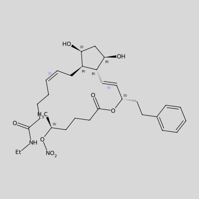 CCNC(=O)CCC/C=C\C[C@@H]1[C@@H](/C=C/[C@H](CCc2ccccc2)OC(=O)CCC[C@H](C)O[N+](=O)[O-])[C@H](O)C[C@@H]1O